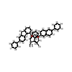 CCC1/C=C(c2cccc3c2-c2ccc(-c4ccccc4)cc2C3)\N=C(\c2ccc3cc(-c4ccccc4)ccc3c2)C/C(C)=C/1c1ccccc1